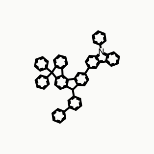 c1ccc(-c2cccc(C3c4ccc(-c5ccc6c(c5)c5ccccc5n6-c5ccccc5)cc4-c4c3ccc3c4-c4ccccc4C3(c3ccccc3)c3ccccc3)c2)cc1